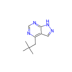 CC(C)(C)Cc1ncnc2[nH]ncc12